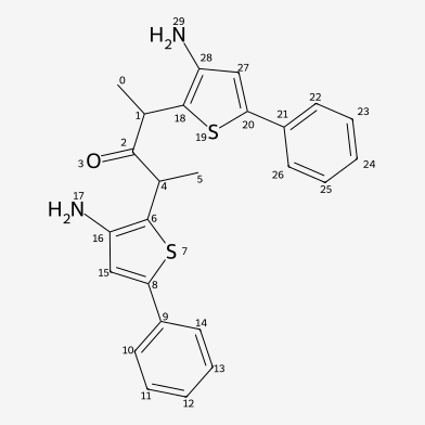 CC(C(=O)C(C)c1sc(-c2ccccc2)cc1N)c1sc(-c2ccccc2)cc1N